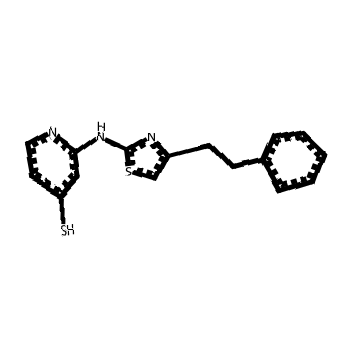 Sc1ccnc(Nc2nc(CCc3ccccc3)cs2)c1